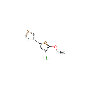 CCCCCCOc1sc(-c2ccsc2)cc1Br